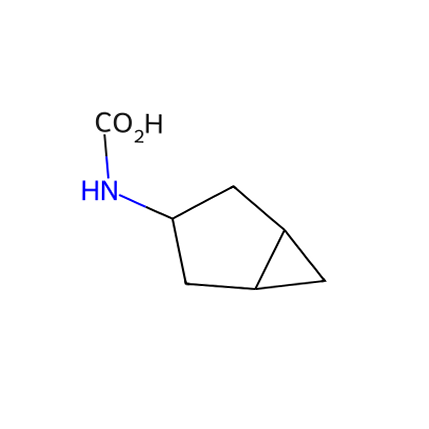 O=C(O)NC1CC2CC2C1